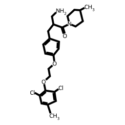 Cc1cc(Cl)c(OCCOc2ccc(CC(CN)C(=O)N3CCC(C)CC3)cc2)c(Cl)c1